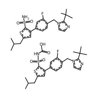 CC(C)Cc1cc(-c2ccc(Cn3ccnc3C(C)(C)C)c(F)c2)c(S(=O)(=O)NC(=O)O)s1.CC(C)Cc1cc(-c2ccc(Cn3ccnc3C(C)(C)C)c(F)c2)c(S(N)(=O)=O)s1